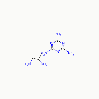 CC(N)CN.Nc1nc(N)nc(N)n1